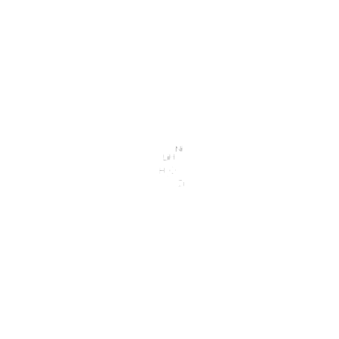 O.[LiH].[Ni].[Zr]